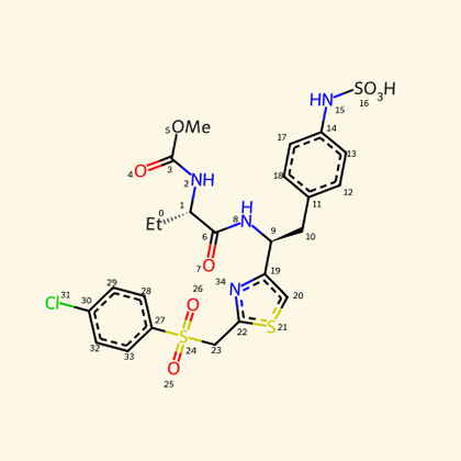 CC[C@H](NC(=O)OC)C(=O)N[C@@H](Cc1ccc(NS(=O)(=O)O)cc1)c1csc(CS(=O)(=O)c2ccc(Cl)cc2)n1